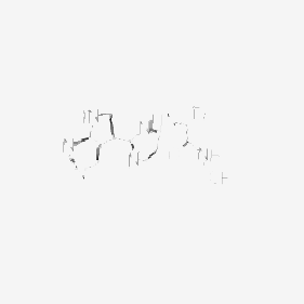 CC[C@@H](Nc1ccnc(-c2c[nH]c3ncncc23)n1)C(=O)NCC(F)(F)F